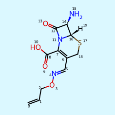 C=CCON=CC1=C(C(=O)O)N2C(=O)[C@@H](N)[C@@H]2SC1